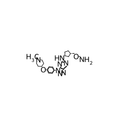 CN1CCC(Oc2ccc(-n3nnc4cnc(N[C@@H]5CC[C@@H](COCN)C5)nc43)cc2)CC1